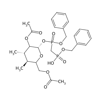 CC(=O)OCC1O[C@@H](OP(=O)(CP(=O)(O)OCc2ccccc2)OCc2ccccc2)C(OC(C)=O)[C@@H](C)[C@@H]1C